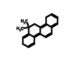 CC1(C)Cc2c3c(ccc2=C2C=CCC=C21)=CC=CC3